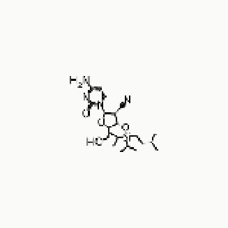 CC(C)CC[Si](O[C@H]1[C@H](C#N)[C@H](n2ccc(N)nc2=O)O[C@@H]1CO)(C(C)C)C(C)C